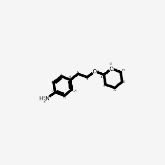 Nc1ccc(CCOC2CCCCO2)cc1